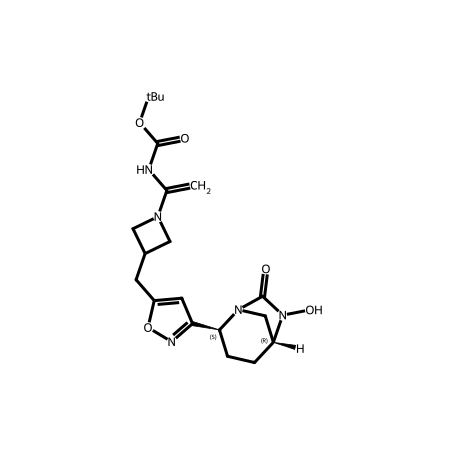 C=C(NC(=O)OC(C)(C)C)N1CC(Cc2cc([C@@H]3CC[C@@H]4CN3C(=O)N4O)no2)C1